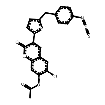 CC(=O)Oc1cc2oc(=O)c(-c3ccc(Cc4ccc(N=C=S)cc4)s3)cc2cc1Cl